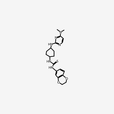 CN(C)c1ccnc(NC2CCC(NC(=S)Nc3ccc4c(c3)OCCO4)CC2)n1